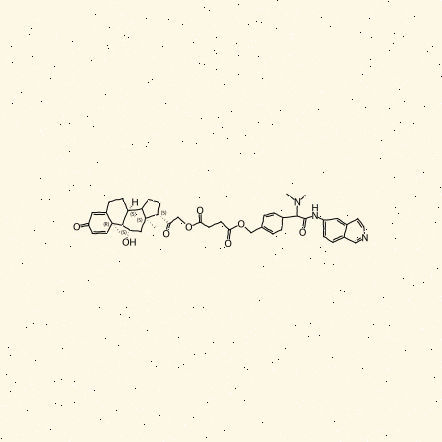 CN(C)C(C(=O)Nc1ccc2cnccc2c1)C1C=CC(COC(=O)CCC(=O)OCC(=O)[C@H]2CCC3[C@@H]4CCC5=CC(=O)C=C[C@]5(C)C4[C@@H](O)C[C@@]32C)=CC1